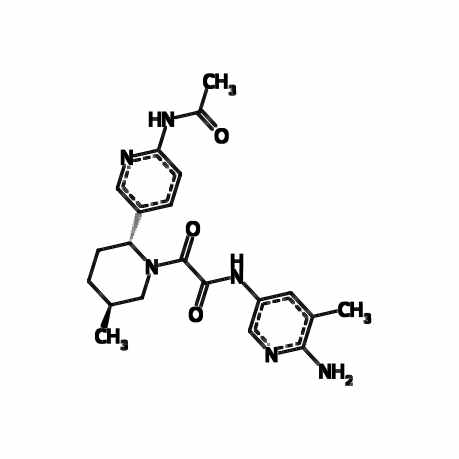 CC(=O)Nc1ccc([C@H]2CC[C@H](C)CN2C(=O)C(=O)Nc2cnc(N)c(C)c2)cn1